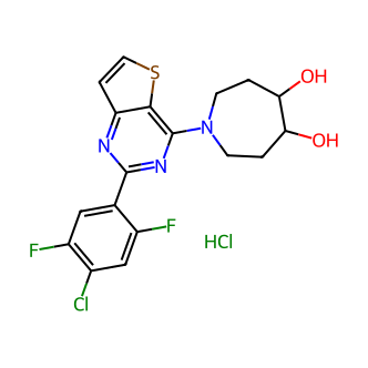 Cl.OC1CCN(c2nc(-c3cc(F)c(Cl)cc3F)nc3ccsc23)CCC1O